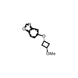 CO[C@H]1C[C@H](Oc2ccc3ocnc3c2)C1